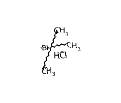 CCCCCCCCC[CH]([Bi])C(CCCCCCC)CCCCCCC.Cl